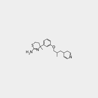 CC(COc1cccc(C2(C)CCSC(N)=N2)c1)CC1C=CN=CC1